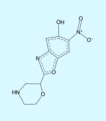 O=[N+]([O-])c1cc2oc(C3CNCCO3)nc2cc1O